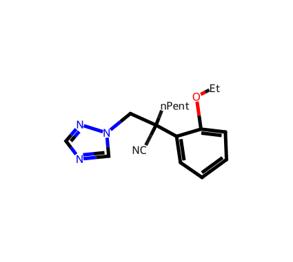 CCCCCC(C#N)(Cn1cncn1)c1ccccc1OCC